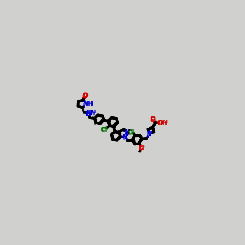 COc1cc(Cn2ncc3c(-c4cccc(-c5ccc(CNC[C@@H]6CCC(=O)N6)cc5)c4Cl)cccc32)c(Cl)cc1CN1CC(C(=O)O)C1